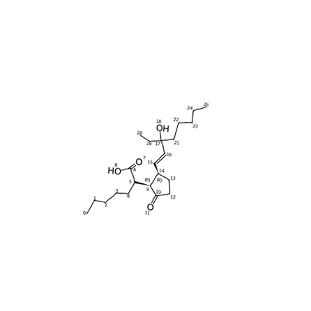 CCCCCC(C(=O)O)[C@@H]1C(=O)CC[C@@H]1C=CC(O)(CC)CCCCC